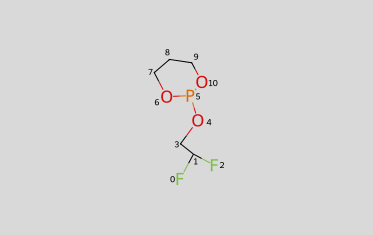 FC(F)COP1OCCCO1